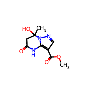 COC(=O)c1cnn2c1NC(=O)CC2(C)O